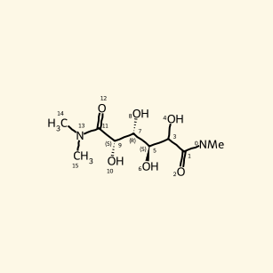 CNC(=O)C(O)[C@@H](O)[C@@H](O)[C@H](O)C(=O)N(C)C